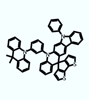 CC1(C)c2ccccc2N(c2cccc(N3c4ccccc4C4(c5cc6c7ccccc7n(-c7ccccc7)c6cc53)c3ccsc3-c3sccc34)c2)c2ccccc21